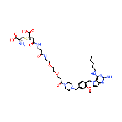 CCCCCNc1nc(N)nc2ccn(Cc3ccc(CN4CCN(C(=O)CCOCCOCCNC(=O)CCNC(=O)C[C@@H](SC[C@H](N)C(=O)O)C(=O)O)CC4)cc3OC)c12